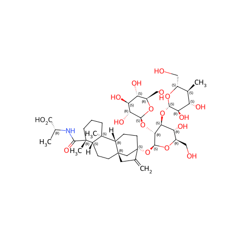 C=C1C[C@@]23CC[C@H]4[C@@](C)(CCC[C@@]4(C)C(=O)N[C@H](C)C(=O)O)[C@@H]2CC[C@]1(O[C@@H]1O[C@H](CO)[C@@H](O)[C@H](O[C@@H]2O[C@H](CO)[C@@H](C)[C@H](O)[C@H]2O)[C@H]1O[C@@H]1O[C@H](CO)[C@@H](O)[C@H](O)[C@H]1O)C3